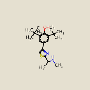 CNC(C)c1nc(-c2cc(C(C)(C)C)c(O)c(C(C)(C)C)c2)cs1